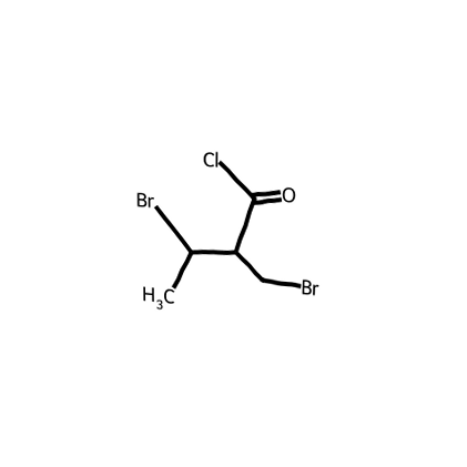 CC(Br)C(CBr)C(=O)Cl